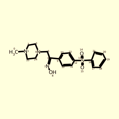 CN1CCN(CC(=NO)c2ccc(S(=O)(=O)c3ccccc3)cc2)CC1